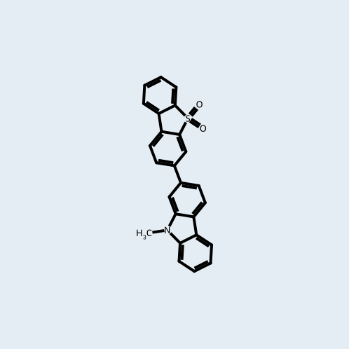 Cn1c2ccccc2c2ccc(-c3ccc4c(c3)S(=O)(=O)c3ccccc3-4)cc21